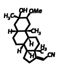 CO[C@H]1C[C@@]2(C)[C@H](CC[C@@H]3[C@@H]2CC[C@]2(C)/C(=C\C#N)CC[C@@H]32)C[C@]1(C)O